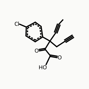 C#CCC(C#CC)(C(=O)C(=O)O)c1ccc(Cl)cc1